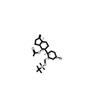 C=C1CCC2[C@H](OC(C)=O)C([C@@]3(C)CC[C@@H](Br)C[C@@H]3CO[Si](C)(C)C(C)(C)C)CC[C@]12C